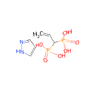 C=CC(P(=O)(O)O)P(=O)(O)O.c1cn[nH]c1